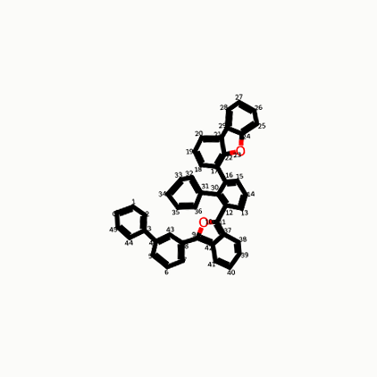 c1ccc(-c2cccc(-c3oc(-c4cccc(-c5cccc6c5oc5ccccc56)c4-c4ccccc4)c4ccccc34)c2)cc1